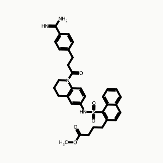 COC(=O)CCCc1ccc2ccccc2c1S(=O)(=O)Nc1ccc2c(c1)CCCN2C(=O)CCc1ccc(C(=N)N)cc1